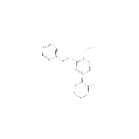 COc1ccc(C2CCCCC2=O)cc1OCc1ccccc1